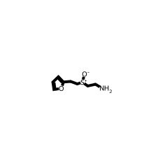 NCC[S+]([O-])CCc1ccco1